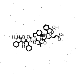 COC(=O)/C=C/CC[C@H](NC(=O)c1ccccc1C(=O)O)C(=O)N[C@H](C(=O)N1C2CCCCC2C[C@H]1C(=O)N[C@H](C(=O)N[C@H](C(N)=O)C1CCCCC1)C1CCCCC1)C(C)(C)C